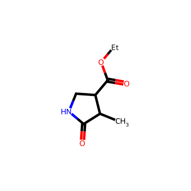 CCOC(=O)C1CNC(=O)C1C